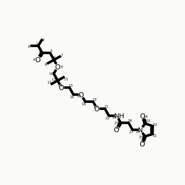 CC(C)C(=O)CC(C)(C)OCC(C)(C)OCCOCCOCCNC(=O)CCN1C(=O)C=CC1=O